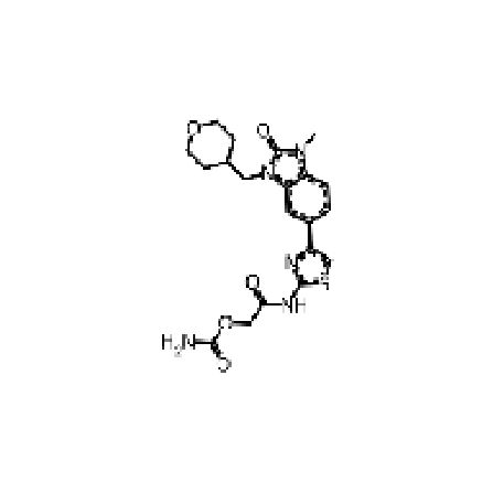 Cn1c(=O)n(CC2CCOCC2)c2cc(-c3csc(NC(=O)COC(N)=O)n3)ccc21